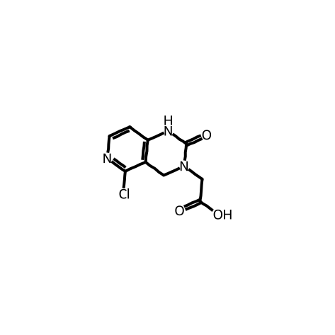 O=C(O)CN1Cc2c(ccnc2Cl)NC1=O